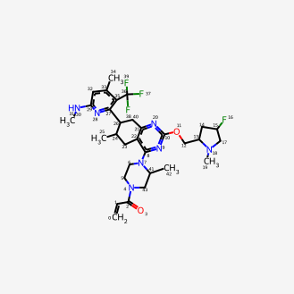 C=CC(=O)N1CCN(c2nc(OCC3CC(F)CN3C)nc3c2CC(C)C(c2nc(NC)cc(C)c2C(F)(F)F)C3)C(C)C1